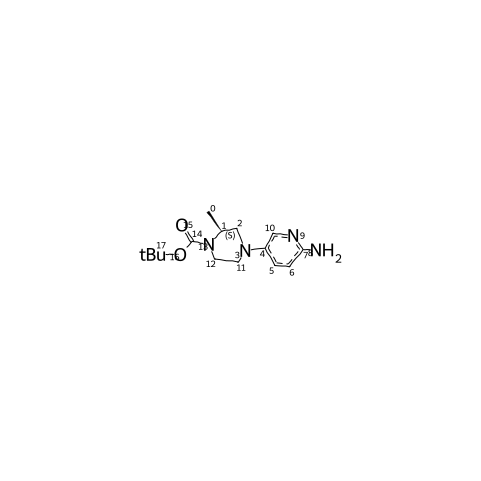 C[C@H]1CN(c2ccc(N)nc2)CCN1C(=O)OC(C)(C)C